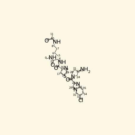 CNC(=O)[C@H](CCCCNC(C)=O)NC(=O)c1csc([C@@H]2C[C@@H](N)CN2C(=O)c2cn3cc(Cl)ccc3n2)n1